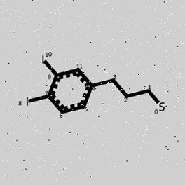 [S]CCCc1ccc(I)c(I)c1